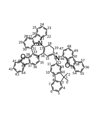 CC1(C)c2ccccc2-c2ccc(N(C3=CC4=C(CC3)n3c5ccccc5c5cccc(c53)-c3c4ccc4c3oc3ccccc34)c3cccc4c3oc3ccccc34)cc21